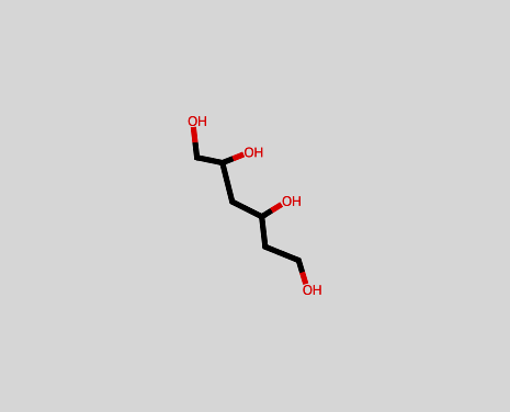 OCC[C](O)CC(O)CO